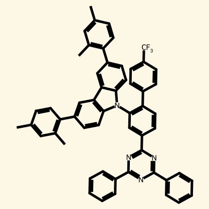 Cc1ccc(-c2ccc3c(c2)c2cc(-c4ccc(C)cc4C)ccc2n3-c2cc(-c3nc(-c4ccccc4)nc(-c4ccccc4)n3)ccc2-c2ccc(C(F)(F)F)cc2)c(C)c1